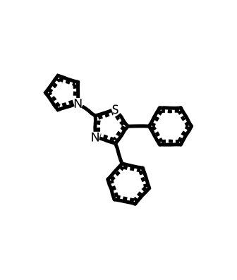 c1ccc(-c2nc(-n3cccc3)sc2-c2ccccc2)cc1